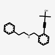 CC(C)(O)C#Cc1ccccc1CNCCc1ccccc1